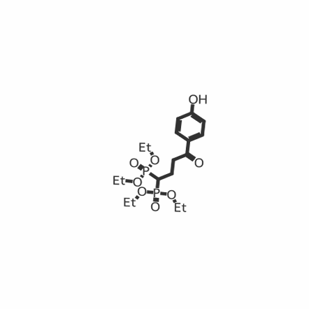 CCOP(=O)(OCC)C(CCC(=O)c1ccc(O)cc1)P(=O)(OCC)OCC